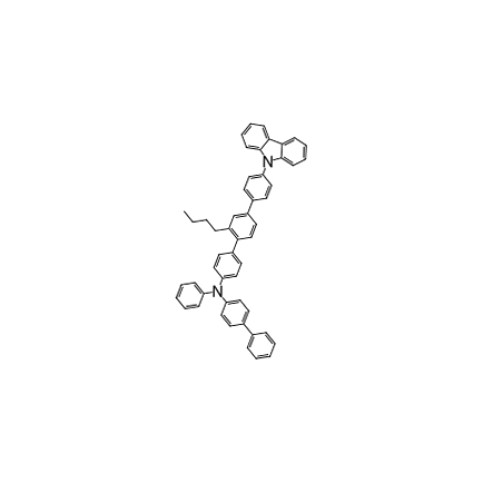 CCCCc1cc(-c2ccc(-n3c4ccccc4c4ccccc43)cc2)ccc1-c1ccc(N(c2ccccc2)c2ccc(-c3ccccc3)cc2)cc1